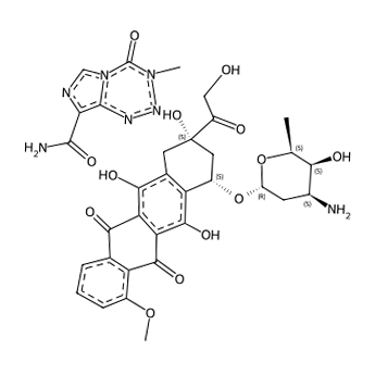 COc1cccc2c1C(=O)c1c(O)c3c(c(O)c1C2=O)C[C@@](O)(C(=O)CO)C[C@@H]3O[C@H]1C[C@H](N)[C@H](O)[C@H](C)O1.Cn1nnc2c(C(N)=O)ncn2c1=O